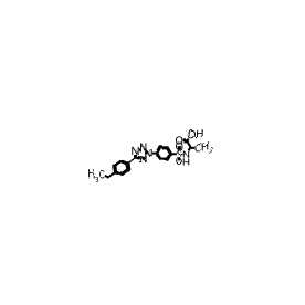 CCc1ccc(-c2nnn(-c3ccc(S(=O)(=O)NC(C)C(=O)O)cc3)n2)cc1